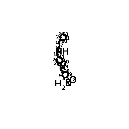 NC(=O)c1ccc(Cn2ccc3cc(CNCCCc4ccccc4)ccc32)cc1